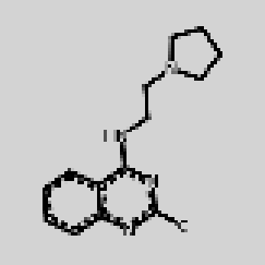 Clc1nc(NCCN2CCCC2)c2ccccc2n1